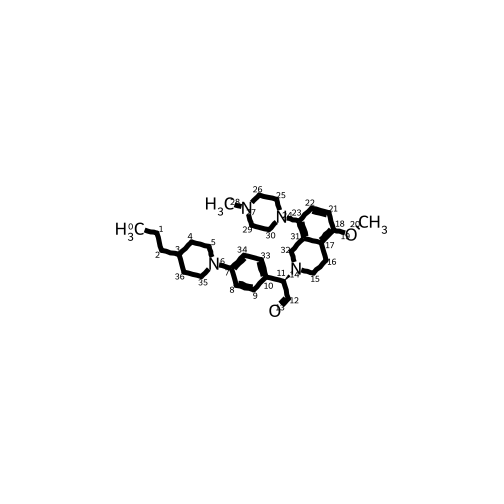 CCCC1CCN(c2ccc([C@@H](C=O)N3CCc4c(OC)ccc(N5CCN(C)CC5)c4C3)cc2)CC1